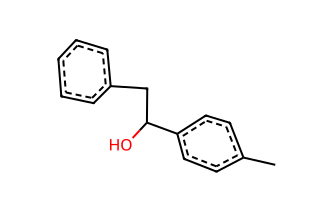 Cc1ccc(C(O)Cc2ccccc2)cc1